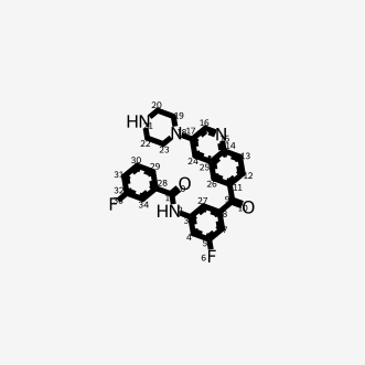 O=C(Nc1cc(F)cc(C(=O)c2ccc3ncc(N4CCNCC4)cc3c2)c1)c1cccc(F)c1